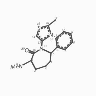 CNC1CCCC(c2ccccc2)N(c2csc(C)n2)C1=O